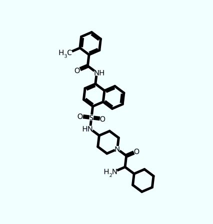 Cc1ccccc1C(=O)Nc1ccc(S(=O)(=O)NC2CCN(C(=O)C(N)C3CCCCC3)CC2)c2ccccc12